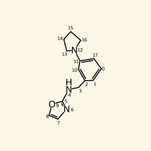 c1cc(CNc2ncco2)cc(N2CCCC2)c1